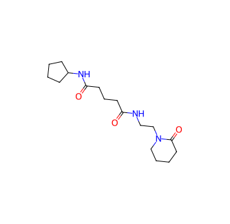 O=C(CCCC(=O)NC1CCCC1)NCCN1CCCCC1=O